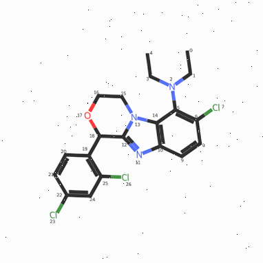 CCN(CC)c1c(Cl)ccc2nc3n(c12)CCOC3c1ccc(Cl)cc1Cl